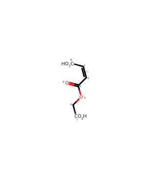 O=C(O)/C=C\C(=O)OCC(=O)O